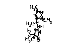 Cc1cc([C@H](C)NC2=NC(=O)C(C)(CF)S2)n(C)n1